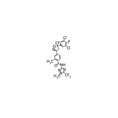 Cc1cc(C2=NOC(c3cc(Cl)c(F)c(Cl)c3)(C(F)(F)F)C2)ccc1C(=O)Nc1nc(C(F)(F)F)n(C)n1